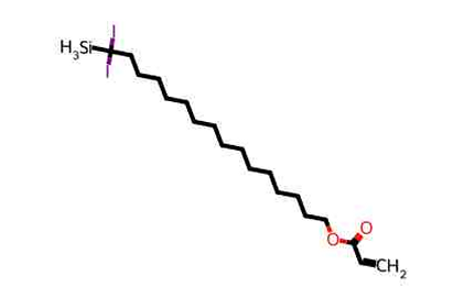 C=CC(=O)OCCCCCCCCCCCCCCCC([SiH3])(I)I